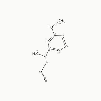 COc1cccc(C(C)CCBr)c1